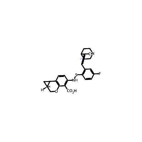 O=C(O)c1c(NSc2ccc(F)cc2/C=C2\CN3CCC2CC3)ccc2c1OC[C@@H]1CC21